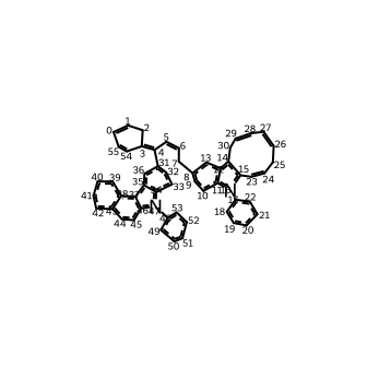 C1=CC/C(=C(\C=C/Cc2ccc3c(c2)c2c(n3-c3ccccc3)/C=C\C/C=C\C=C/C2)c2ccc3c(c2)c2c4ccccc4ccc2n3-c2ccccc2)C=C1